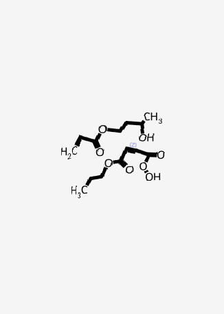 C=CC(=O)OCCC(C)O.CCCOC(=O)/C=C\C(=O)OO